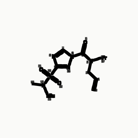 C=CCN(C(=O)n1cnc(S(=O)(=O)N(C)CCCC)n1)C(C)C